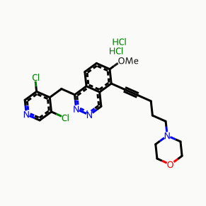 COc1ccc2c(Cc3c(Cl)cncc3Cl)nncc2c1C#CCCCN1CCOCC1.Cl.Cl